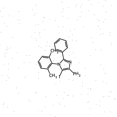 Cc1cccc(C)c1-n1c(-c2ccccc2)nc(P)c1I